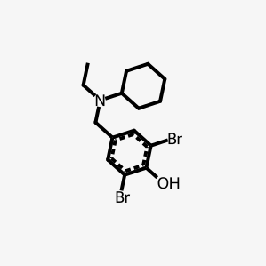 CCN(Cc1cc(Br)c(O)c(Br)c1)C1CCCCC1